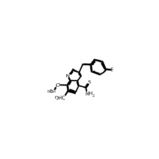 CCCCOc1c(C=O)cc(C(N)=S)c2cc(Cc3ccc(F)cc3)cnc12